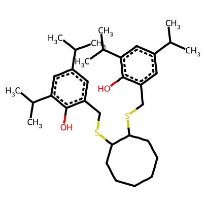 CC(C)c1cc(CSC2CCCCCCC2SCc2cc(C(C)C)cc(C(C)C)c2O)c(O)c(C(C)C)c1